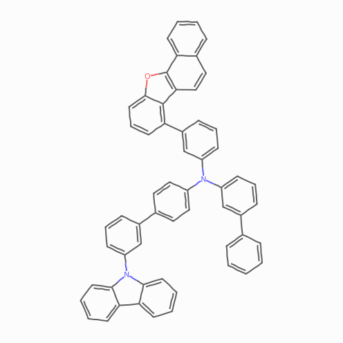 c1ccc(-c2cccc(N(c3ccc(-c4cccc(-n5c6ccccc6c6ccccc65)c4)cc3)c3cccc(-c4cccc5oc6c7ccccc7ccc6c45)c3)c2)cc1